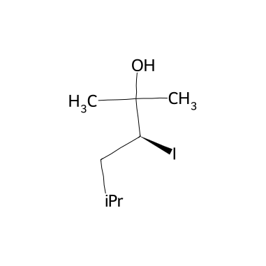 CC(C)C[C@H](I)C(C)(C)O